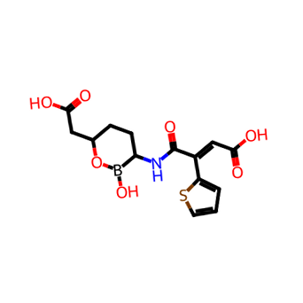 O=C(O)/C=C(/C(=O)NC1CCC(CC(=O)O)OB1O)c1cccs1